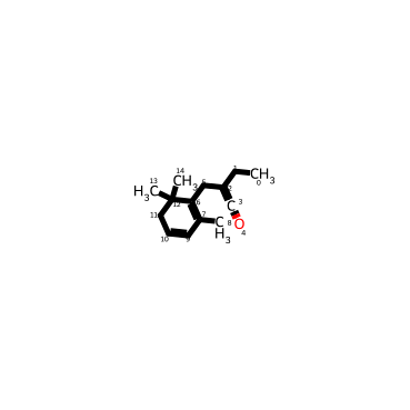 CCC(=C=O)CC1=C(C)C=CCC1(C)C